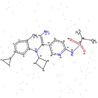 Cc1ccc(C2CC2)cc1N(/C(=C/N)c1ccc(NS(=O)(=O)C(C)C)nc1)C1CCC1